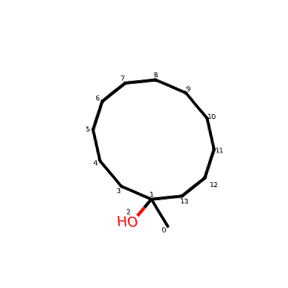 CC1(O)CCCCCCCCCCC1